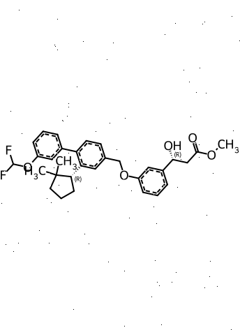 COC(=O)C[C@@H](O)c1cccc(OCc2ccc(-c3cccc(OC(F)F)c3)c([C@@H]3CCCC3(C)C)c2)c1